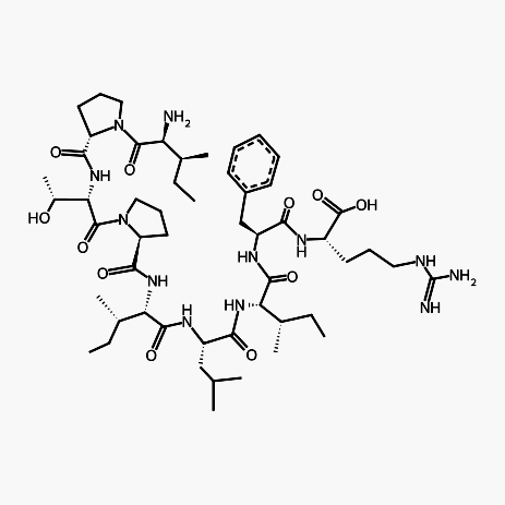 CC[C@H](C)[C@H](N)C(=O)N1CCC[C@H]1C(=O)N[C@H](C(=O)N1CCC[C@H]1C(=O)N[C@H](C(=O)N[C@@H](CC(C)C)C(=O)N[C@H](C(=O)N[C@@H](Cc1ccccc1)C(=O)N[C@@H](CCCNC(=N)N)C(=O)O)[C@@H](C)CC)[C@@H](C)CC)[C@@H](C)O